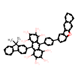 Bc1c(B)c(B)c2c(-c3ccc4c(c3)C(C)(C)c3ccccc3-4)c3c(B)c(B)c(B)c(B)c3c(-c3ccc(-c4ccc5oc6cc7ccccc7cc6c5c4)cc3)c2c1B